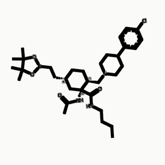 CCCCNC(=O)[C@@]1(NC(C)=O)C[C@H](CCB2OC(C)(C)C(C)(C)O2)CC[C@H]1CN1CCC(c2ccc(Cl)cc2)CC1